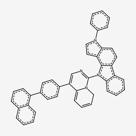 C1=CCN2C(=C1)C(c1ccc(-c3cccc4ccccc34)cc1)=CN=C2n1c2ccccc2c2ccc3c(ccn3-c3ccccc3)c21